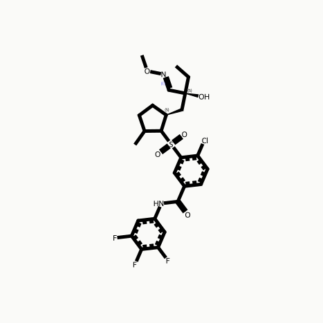 CC[C@@](O)(/C=N/OC)C[C@@H]1CCC(C)C1S(=O)(=O)c1cc(C(=O)Nc2cc(F)c(F)c(F)c2)ccc1Cl